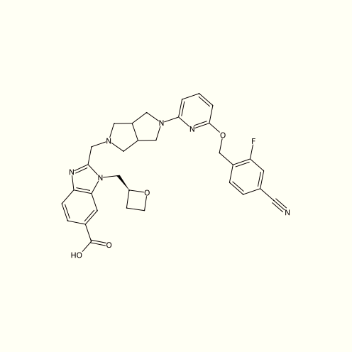 N#Cc1ccc(COc2cccc(N3CC4CN(Cc5nc6ccc(C(=O)O)cc6n5C[C@@H]5CCO5)CC4C3)n2)c(F)c1